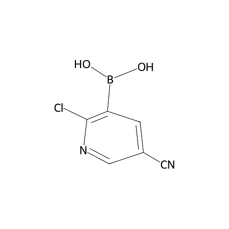 N#Cc1cnc(Cl)c(B(O)O)c1